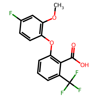 COc1cc(F)ccc1Oc1cccc(C(F)(F)F)c1C(=O)O